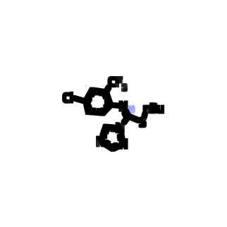 CCCCS/C(=N/c1ccc(Cl)cc1C(F)(F)F)n1cncn1